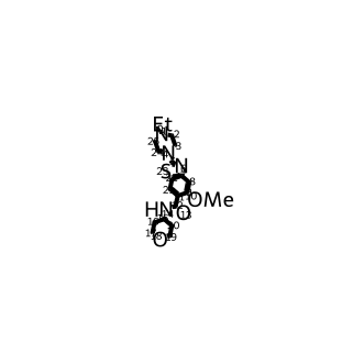 CCN1CCN(c2nc3cc(OC)c(C(=O)NC4CCOCC4)cc3s2)CC1